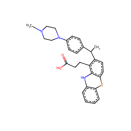 CC(c1ccc(N2CCN(C)CC2)cc1)c1ccc2c(c1CCC(=O)O)Nc1ccccc1S2